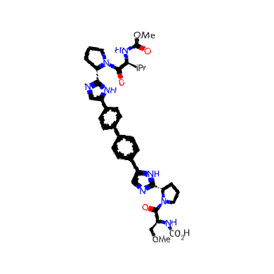 COC[C@H](NC(=O)O)C(=O)N1CCC[C@H]1c1ncc(-c2ccc(-c3ccc(-c4cnc([C@@H]5CCCN5C(=O)[C@@H](NC(=O)OC)C(C)C)[nH]4)cc3)cc2)[nH]1